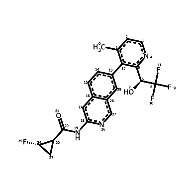 Cc1ccnc([C@H](O)C(F)(F)F)c1-c1ccc2cc(NC(=O)C3C[C@@H]3F)ncc2c1